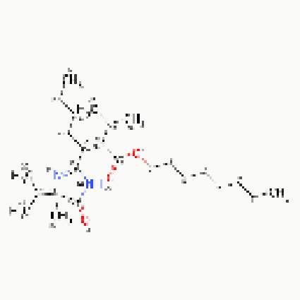 CCCCCCCCOC(=O)/C(=C(/CCCC)C1=NC(C)(C(C)C)C(=O)N1)C(C)C